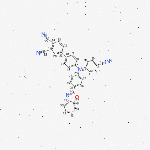 N#Cc1ccc(N(c2ccc(-c3ccc(C#N)c(C#N)c3)cc2)c2ccc(-c3nc4ccccc4o3)cc2)cc1